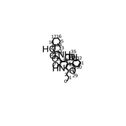 CCCCc1[nH]c(=O)c(C(=O)N[C@@H](CC2CCCCC2)C(=O)O)c(O)c1-c1c(OC)cccc1OC